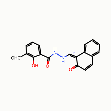 O=Cc1cccc(C(=O)NN/C=C2\C(=O)C=Cc3ccccc32)c1O